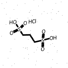 Cl.O=S(=O)(O)CCCS(=O)(=O)O